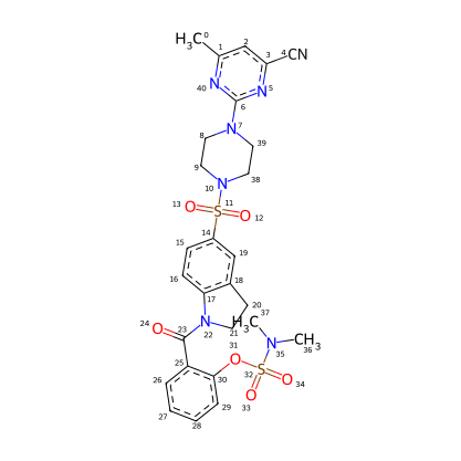 Cc1cc(C#N)nc(N2CCN(S(=O)(=O)c3ccc4c(c3)CCN4C(=O)c3ccccc3OS(=O)(=O)N(C)C)CC2)n1